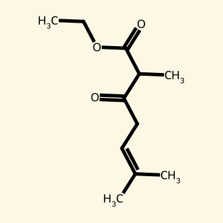 CCOC(=O)C(C)C(=O)CC=C(C)C